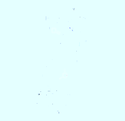 CN(C(=O)c1cc(C2CC2)c(OCC23CC4CC(CC(C4)C2)C3)cc1F)C1(C(=O)O)CC1